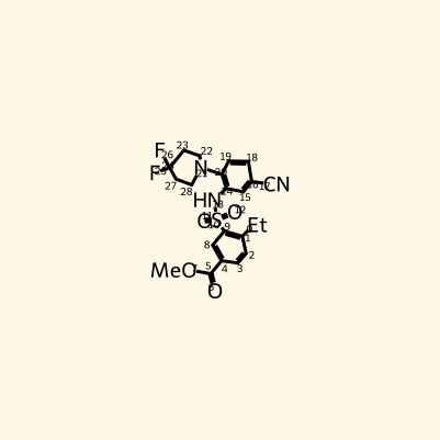 CCc1ccc(C(=O)OC)cc1S(=O)(=O)Nc1cc(C#N)ccc1N1CCC(F)(F)CC1